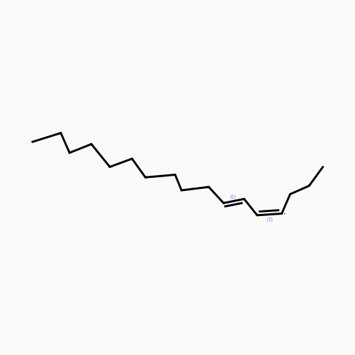 CCC/[C]=C\C=C\CCCCCCCCCC